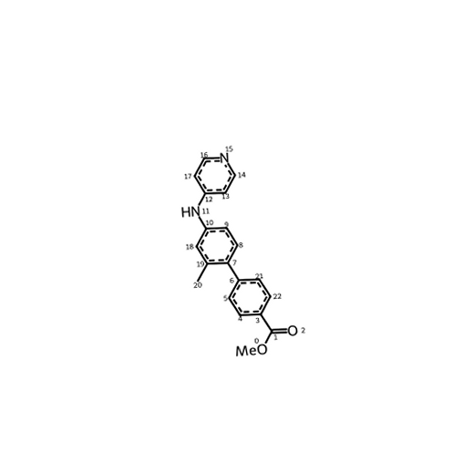 COC(=O)c1ccc(-c2ccc(Nc3ccncc3)cc2C)cc1